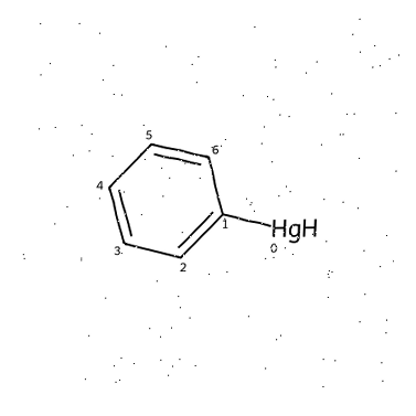 [HgH][c]1ccccc1